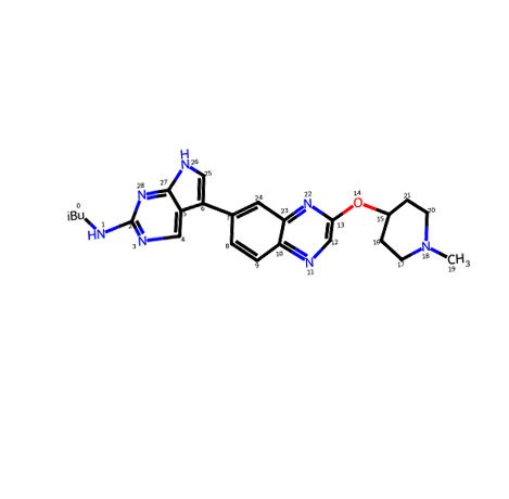 CCC(C)Nc1ncc2c(-c3ccc4ncc(OC5CCN(C)CC5)nc4c3)c[nH]c2n1